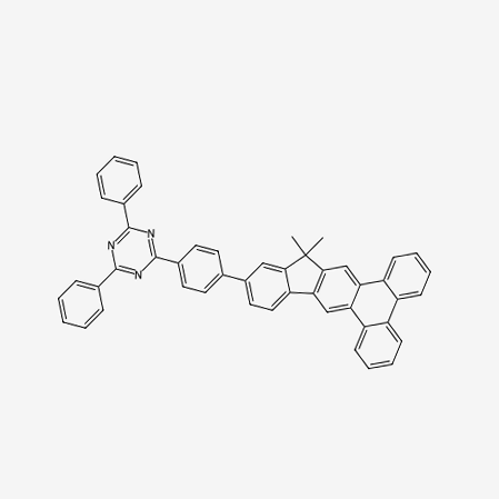 CC1(C)c2cc(-c3ccc(-c4nc(-c5ccccc5)nc(-c5ccccc5)n4)cc3)ccc2-c2cc3c4ccccc4c4ccccc4c3cc21